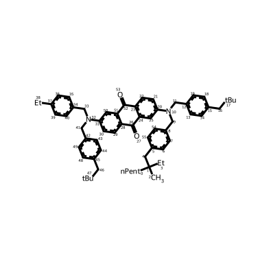 CCCCCC(C)(CC)Cc1ccc(CN(Cc2ccc(CC(C)(C)C)cc2)c2ccc3c(c2)C(=O)c2ccc(N(Cc4ccc(CC)cc4)Cc4ccc(CC(C)(C)C)cc4)cc2C3=O)cc1